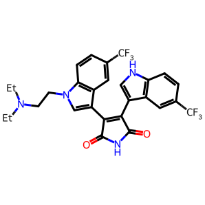 CCN(CC)CCn1cc(C2=C(c3c[nH]c4ccc(C(F)(F)F)cc34)C(=O)NC2=O)c2cc(C(F)(F)F)ccc21